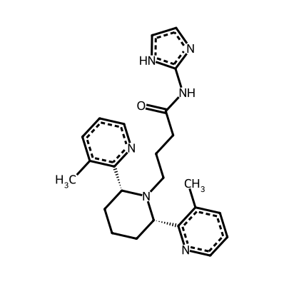 Cc1cccnc1[C@H]1CCC[C@@H](c2ncccc2C)N1CCCC(=O)Nc1ncc[nH]1